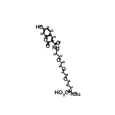 CC(C)(C)N(CCCOCCOCCOCCCNC(=O)c1cc2ccc(O)cc2oc1=O)C(=O)O